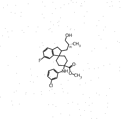 COC(=O)C1(Nc2cccc(Cl)c2)CCC2(CC1)c1cc(F)ccc1CC2C[C@@H](C)CO